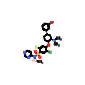 CBN(c1ccncn1)S(=O)(=O)c1cc(Cl)c(O[C@H]2CC[C@H](c3cccc(Br)c3)C[C@@H]2N(C)C)cc1F